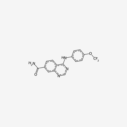 NC(=O)c1ccc2c(Nc3ccc(OC(F)(F)F)cc3)ncnc2c1